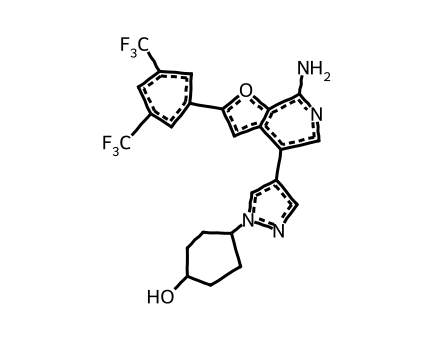 Nc1ncc(-c2cnn(C3CCC(O)CC3)c2)c2cc(-c3cc(C(F)(F)F)cc(C(F)(F)F)c3)oc12